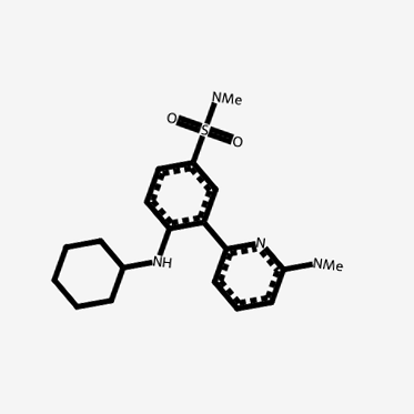 CNc1cccc(-c2cc(S(=O)(=O)NC)ccc2NC2CCCCC2)n1